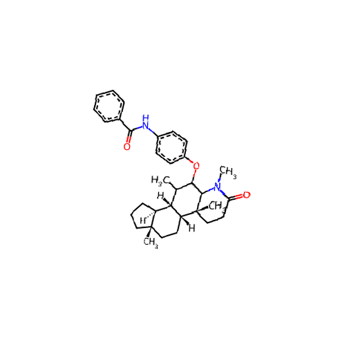 CC1C(Oc2ccc(NC(=O)c3ccccc3)cc2)C2N(C)C(=O)CC[C@]2(C)[C@@H]2CC[C@]3(C)CCC[C@H]3[C@H]12